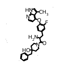 Cc1c[nH]c2nccc(Oc3ccc(CC(N)C(=O)N4CCC(O)(Cc5ccccc5)CC4)cc3F)c12